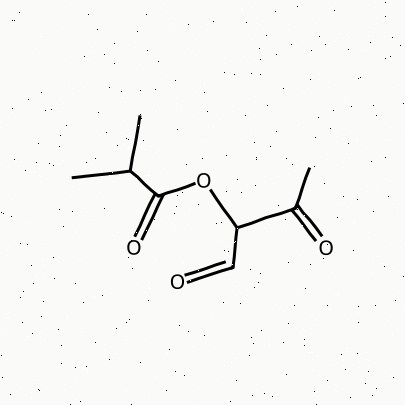 CC(=O)C(C=O)OC(=O)C(C)C